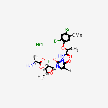 CCc1cn([C@@H]2O[C@H](C)[C@@H](OC(=O)[C@@H](N)C(C)C)[C@@H]2F)c(=O)n(NC(=O)C(C)Oc2cc(OC)c(Br)cc2Br)c1=O.Cl